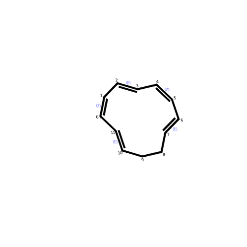 [C]1=C\C=C\C=C/C=C/CC/C=C/1